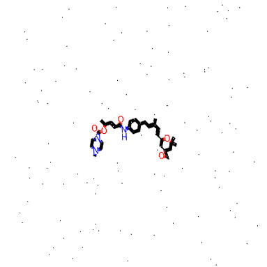 CC(C=C[C@@H]1C[C@]2(CO2)CC(C)(C)O1)=CCC1CCC(NC(=O)C=CC(C)OC(=O)N2CCN(C)CC2)CC1